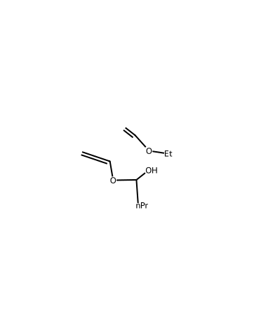 C=COC(O)CCC.C=COCC